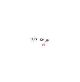 I.[BiH3].[KH].[LiH]